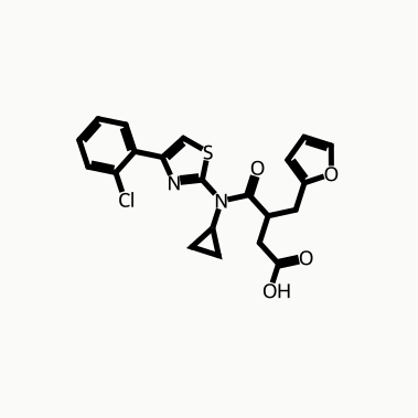 O=C(O)CC(Cc1ccco1)C(=O)N(c1nc(-c2ccccc2Cl)cs1)C1CC1